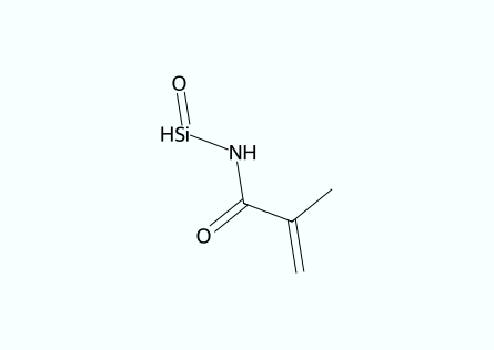 C=C(C)C(=O)N[SiH]=O